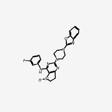 [O-][S+]1CCc2nc(N3CCN(c4nc5ccccc5o4)CC3)nc(Nc3cccc(F)c3)c21